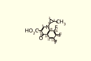 CC1CC1n1cc(C(=O)O)c(=O)c2cc(F)c(F)c(F)c21